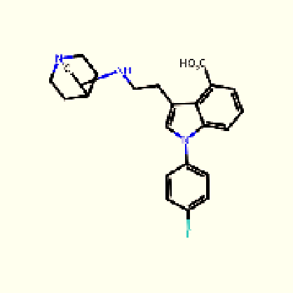 O=C(O)c1cccc2c1c(CCNC1CN3CCC1CC3)cn2-c1ccc(F)cc1